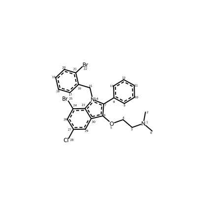 CN(C)CCOc1c(-c2ccccc2)n(Cc2ccccc2Br)c2c(Br)cc(Cl)cc12